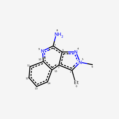 CCc1c2c(nn1C)c(N)nc1ccccc12